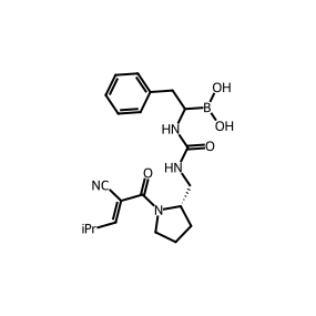 CC(C)C=C(C#N)C(=O)N1CCC[C@H]1CNC(=O)NC(Cc1ccccc1)B(O)O